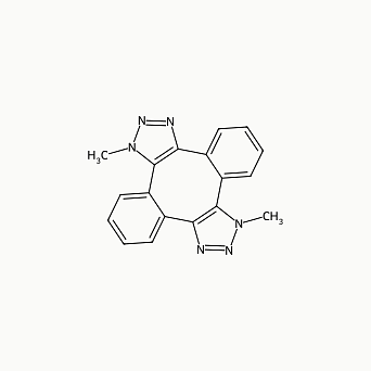 Cn1nnc2c1-c1ccccc1-c1nnn(C)c1-c1ccccc1-2